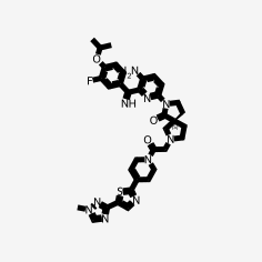 CC(C)Oc1ccc(C(=N)c2nc(N3CC[C@]4(CCN(CC(=O)N5CC=C(c6ncc(-c7ncn(C)n7)s6)CC5)C4)C3=O)ccc2N)cc1F